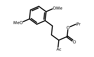 COc1ccc(OC)c(CCC(C(C)=O)C(=O)OC(C)C)c1